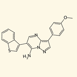 COc1ccc(-c2cnn3c(N)c(-c4csc5ccccc45)cnc23)cc1